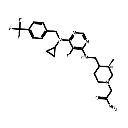 C[C@H]1CN(CC(N)=O)CCC1CNc1ncnc(N(Cc2ccc(C(F)(F)F)cc2)C2CC2)c1F